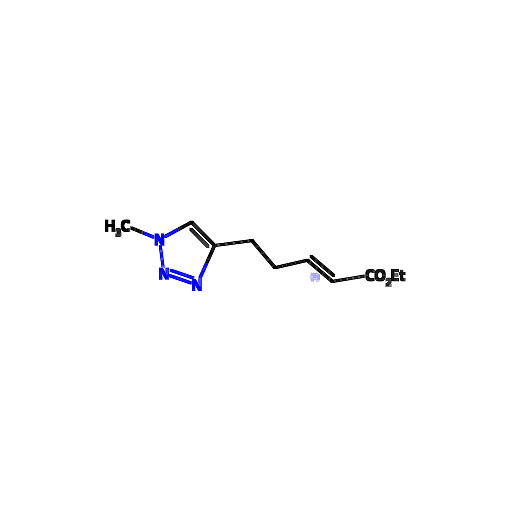 CCOC(=O)/C=C/CCc1cn(C)nn1